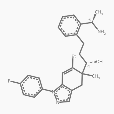 CCC1=Cc2c(cnn2-c2ccc(F)cc2)CC1(C)[C@@H](O)CCc1ccccc1[C@@H](C)N